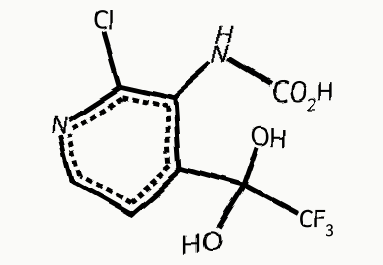 O=C(O)Nc1c(C(O)(O)C(F)(F)F)ccnc1Cl